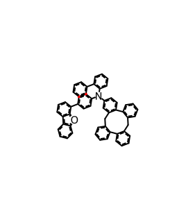 c1ccc(-c2ccccc2N(c2ccc(-c3cccc4c3oc3ccccc34)cc2)c2ccc3c(c2)Cc2ccccc2-c2ccccc2Cc2ccccc2-3)cc1